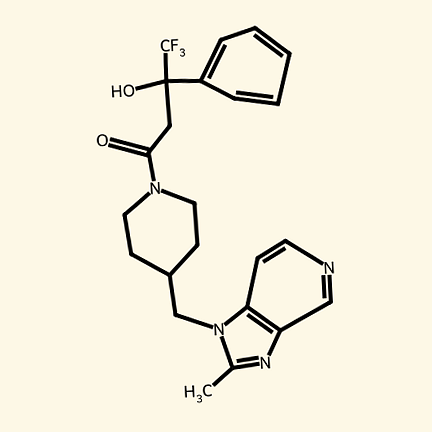 Cc1nc2cnccc2n1CC1CCN(C(=O)CC(O)(c2ccccc2)C(F)(F)F)CC1